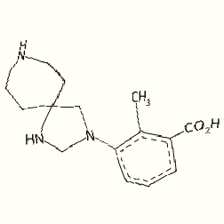 Cc1c(C(=O)O)cccc1N1CNC2(CCNCC2)C1